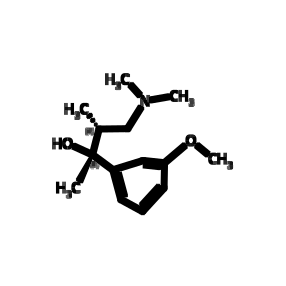 COc1cccc([C@](C)(O)[C@H](C)CN(C)C)c1